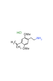 C=C(C)c1cc(OC)c(CCN)cc1OC.Cl